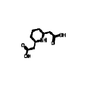 O=C(O)C[C@H]1CCC[C@@H](CC(=O)O)N1